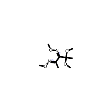 CO/N=C(C)/C(=N\OC)C(C)(OC)OC